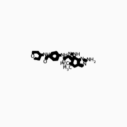 CC1(C)Cc2cnc(N)nc2-c2[nH]nc(C(=O)Nc3ccc(C(=O)NC4CCOCC4)cc3)c21